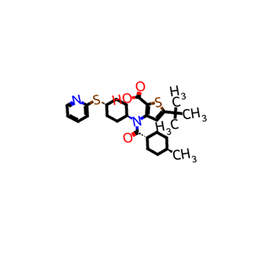 CC(C)(C)c1cc(N(C(=O)[C@H]2CC[C@H](C)CC2)[C@H]2CC[C@H](Sc3ccccn3)CC2)c(C(=O)O)s1